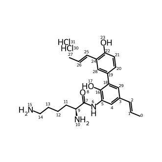 CC=Cc1cc(NC(=O)[C@@H](N)CCCCN)c(O)c(-c2ccc(O)c(C=CC)c2)c1.Cl.Cl